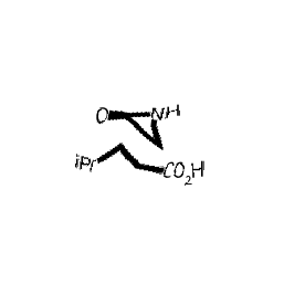 CC(C)CCC(=O)O.O=C1CN1